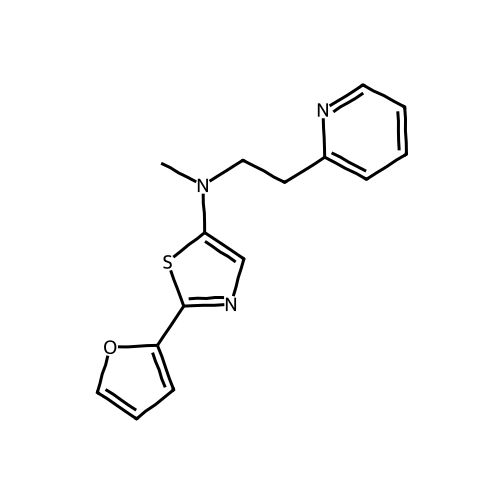 CN(CCc1ccccn1)c1cnc(-c2ccco2)s1